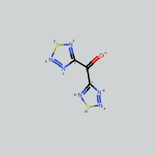 O=C(c1nnsn1)c1nnsn1